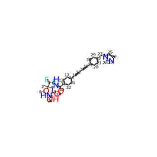 COC(C)(C(F)F)C(NC(=O)c1ccc(C#CC#Cc2ccc(Cn3ccnc3)cc2)cc1)C(=O)NO